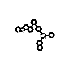 c1ccc(-c2nc(-c3ccc(-c4ccccc4-c4cccc5c4ccc4c6cccnc6sc54)cc3)nc(-c3ccc4ccccc4c3)n2)cc1